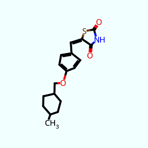 CC1CCC(COc2ccc(C=C3SC(=O)NC3=O)cc2)CC1